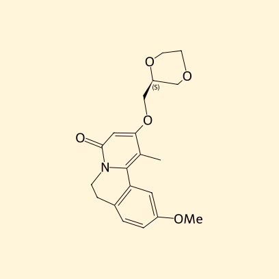 COc1ccc2c(c1)-c1c(C)c(OC[C@@H]3COCCO3)cc(=O)n1CC2